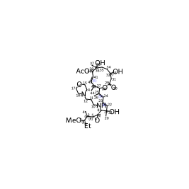 CC[C@H](OC)[C@@H](C)[C@H]1O[C@@H]1C(NCCCN1CCOCC1)C(C)(O)/C=C/C=C(\C)C1OC(=O)C[C@H](O)CC[C@@](C)(O)[C@@H](OC(C)=O)/C=C/[C@@H]1C